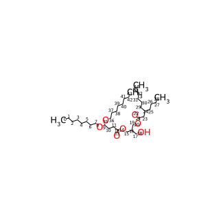 CCCCCCCCOC(CCC(=O)OCC(CO)COC(=O)CC(CCCC)CCCCCC)OCCCCCCCC